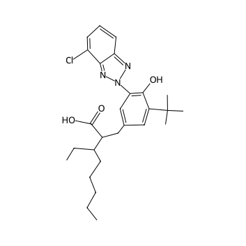 CCCCCC(CC)C(Cc1cc(-n2nc3cccc(Cl)c3n2)c(O)c(C(C)(C)C)c1)C(=O)O